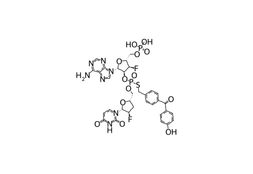 Nc1ncnc2c1ncn2[C@@H]1O[C@H](COP(=O)(O)O)[C@@H](F)[C@H]1OP(=O)(OC[C@@H]1C[C@@H](F)[C@H](n2ccc(=O)[nH]c2=O)O1)SCc1ccc(C(=O)c2ccc(O)cc2)cc1